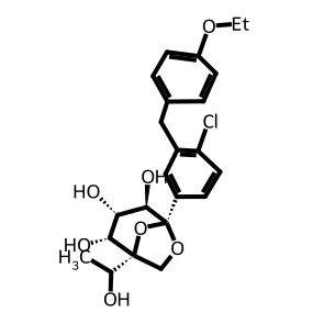 CCOc1ccc(Cc2cc([C@]34OC[C@](C(C)O)(O3)[C@H](O)[C@H](O)[C@H]4O)ccc2Cl)cc1